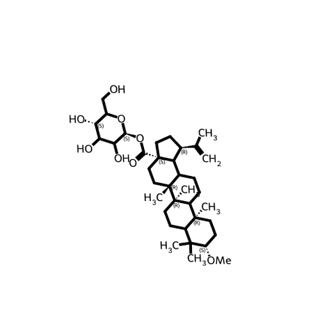 C=C(C)[C@@H]1CC[C@]2(C(=O)O[C@@H]3OC(CO)[C@@H](O)C(O)C3O)CC[C@]3(C)C(CCC4[C@@]5(C)CC[C@H](OC)C(C)(C)C5CC[C@]43C)C12